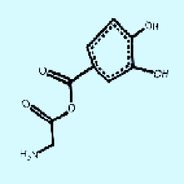 NCC(=O)OC(=O)c1ccc(O)c(O)c1